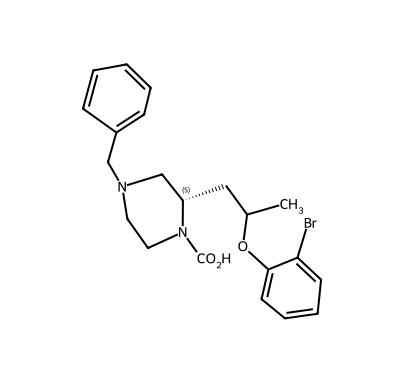 CC(C[C@H]1CN(Cc2ccccc2)CCN1C(=O)O)Oc1ccccc1Br